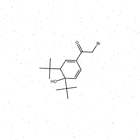 CC(C)(C)C1C=C(C(=O)CBr)C=CC1(O)C(C)(C)C